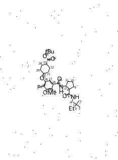 CCC(C)(C)CNC(=O)C1CCCC1NC(=O)c1cc(OC2CCC(C(=O)OC(C)(C)C)CC2)c(F)cc1OC